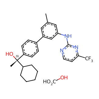 Cc1cc(Nc2nccc(C(F)(F)F)n2)cc(-c2ccc([C@@](C)(O)C3CCCCC3)cc2)c1.O=C(O)O